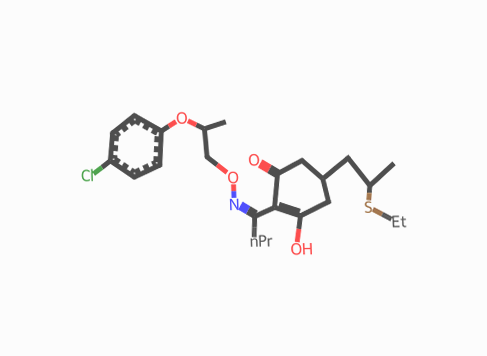 CCCC(=NOCC(C)Oc1ccc(Cl)cc1)C1=C(O)CC(CC(C)SCC)CC1=O